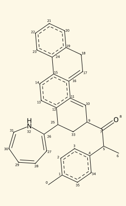 Cc1ccc(C(C)C(=O)C2C=c3c(ccc4c3=CCc3ccccc3-4)C(C3=CC=CC=CN3)C2)cc1